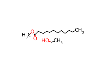 CCCCCCCCCCCC(=O)OC.CCO